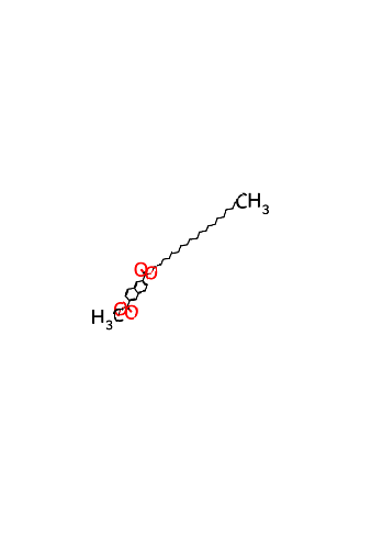 CCCCCCCCCCCCCCCCCCCCOC(=O)c1ccc2cc(C(=O)OC)ccc2c1